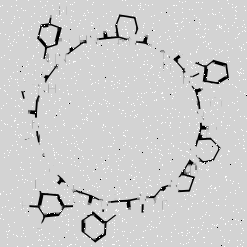 CCCC[C@H]1C(=O)N2CCC[C@@H]2C(=O)N2CCCC[C@H]2C(=O)N[C@@H](C(C)C)C(=O)N(C)[C@@H](Cc2ccccc2)C(=O)NCC(=O)N2CCCC[C@@H]2C(=O)NCC(=O)N[C@@H](Cc2ccc(O)cc2)C(=O)N[C@@H](CC(C)C)C(=O)N[C@H](C)CSCC(=O)N[C@@H](Cc2cc(F)c(F)c(F)c2)C(=O)N(C)[C@@H](Cc2ccccc2)C(=O)N1C